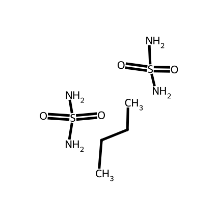 CCCC.NS(N)(=O)=O.NS(N)(=O)=O